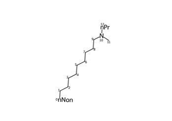 CCCCCCCCCCCCCCCCCCN(C)CCC